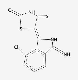 N=C1NC(=C2SC(=O)NC2=S)c2c(Cl)cccc21